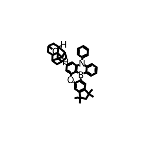 CC1(C)CC(C)(C)c2cc3c(cc21)Oc1cc([C@]24CC5C6CC7C[C@@H]5C(C2)[C@@H](C7)C6C4)cc2c1B3c1ccccc1N2c1ccccc1